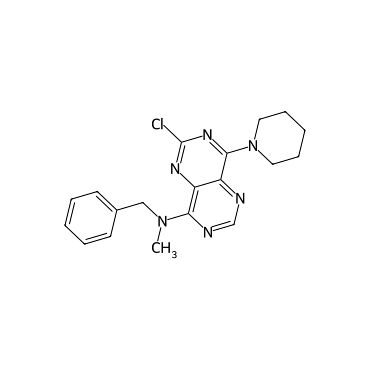 CN(Cc1ccccc1)c1ncnc2c(N3CCCCC3)nc(Cl)nc12